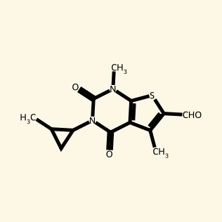 Cc1c(C=O)sc2c1c(=O)n(C1CC1C)c(=O)n2C